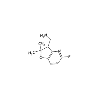 CC1(C)Oc2ccc(F)nc2C1CN